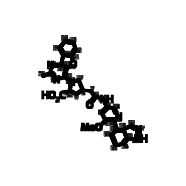 COc1cc(NC(=O)C[C@H]2C[C@@H](C(=O)O)N(c3nc(C)nc4c3oc3ccccc34)C2)cnc1-c1cccc2[nH]ncc12